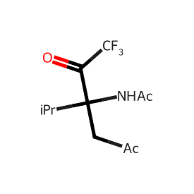 CC(=O)CC(NC(C)=O)(C(=O)C(F)(F)F)C(C)C